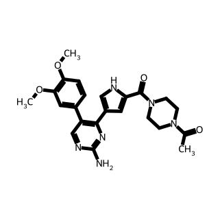 COc1ccc(-c2cnc(N)nc2-c2c[nH]c(C(=O)N3CCN(C(C)=O)CC3)c2)cc1OC